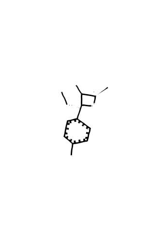 CC1[C@@H](C)O[C@@]1(CCl)c1ccc(Cl)cc1